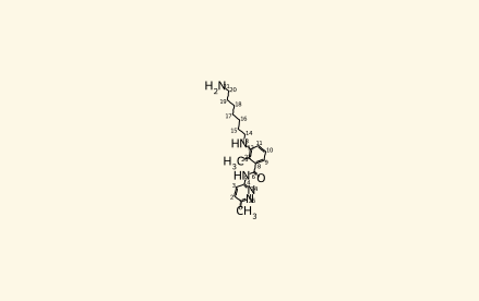 Cc1ccc(NC(=O)c2cccc(NCCCCCCCN)c2C)nn1